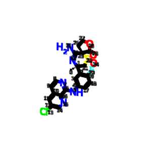 C[C@@]1(c2cc(Nc3nccc4cc(Cl)cnc34)ccc2F)CS(=O)(=O)[C@]2(CCOC2)C(N)=N1